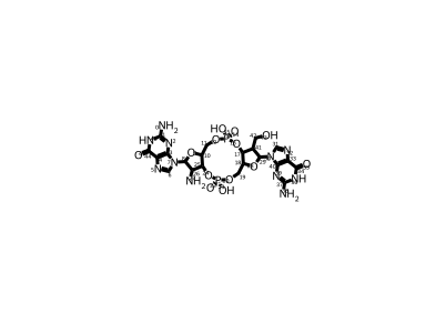 Nc1nc2c(ncn2C2OC3COP(=O)(O)OC4C(COP(=O)(O)OC3C2N)OC(n2cnc3c(=O)[nH]c(N)nc32)C4CO)c(=O)[nH]1